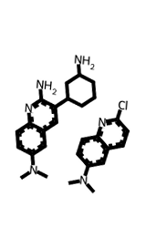 CN(C)c1ccc2nc(Cl)ccc2c1.CN(C)c1ccc2nc(N)c(C3CCCC(N)C3)cc2c1